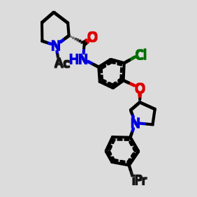 CC(=O)N1CCCC[C@@H]1C(=O)Nc1ccc(O[C@H]2CCN(c3cccc(C(C)C)c3)C2)c(Cl)c1